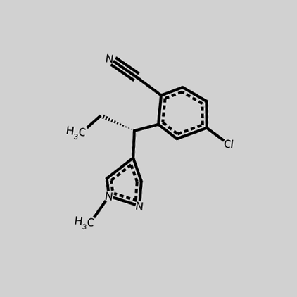 CC[C@@H](c1cnn(C)c1)c1cc(Cl)ccc1C#N